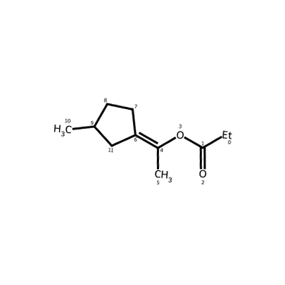 CCC(=O)OC(C)=C1CCC(C)C1